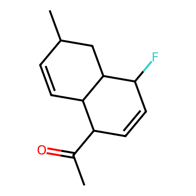 CC(=O)C1C=CC(F)C2CC(C)C=CC12